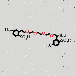 CCCCC(COCCOCCOCCOCCc1cc(C)ccc1S(=O)(=O)O)c1cc(C)ccc1S(=O)(=O)O